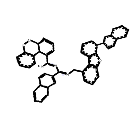 N/C(=N\C(=N/Cc1cccc2oc3c(-c4ccc5ccccc5c4)cccc3c12)C1=CC2C=CC=CC2C=C1)C1=CC=CC2OSc3ccccc3C12